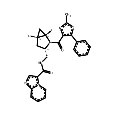 Cc1nc(C(=O)N2[C@H](CNC(=O)c3cnc4ccccn34)C[C@@H]3C[C@@H]32)c(-c2ccccc2)s1